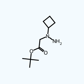 CC(C)(C)OC(=O)CN(N)C1CCC1